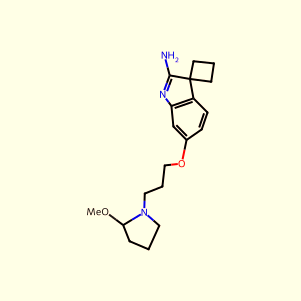 COC1CCCN1CCCOc1ccc2c(c1)N=C(N)C21CCC1